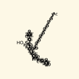 CC(=O)SCCOCCOCCOCCOCCOCCOCCOCCOCCC(=O)NCCC(=O)N(Cc1cc(F)c(C(=O)N[C@@H](Cc2ccc(-c3c(C)n(C)c(=O)n(C)c3=O)cc2)C(=O)O)c(F)c1)Cc1cc(F)c(C(=O)N[C@@H](Cc2ccc(-c3c(C)n(C)c(=O)n(C)c3=O)cc2)C(=O)O)c(F)c1